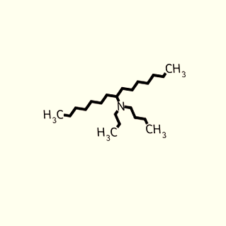 CCCCCCCC(CCCCCCC)N(CCC)CCCC